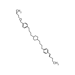 C=CCCOCc1ccc(CCCCC2CCC(CCCCc3ccc(/C=C/CCC)cc3)CC2)cc1